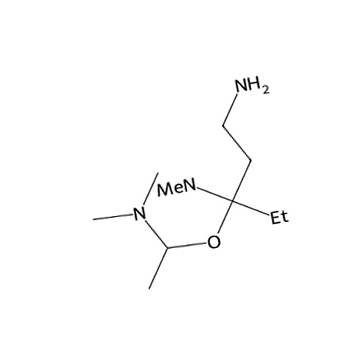 CCC(CCN)(NC)OC(C)N(C)C